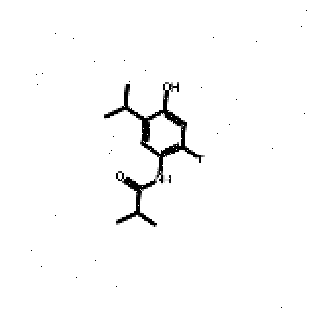 CC(C)C(=O)Nc1cc(C(C)C)c(O)cc1F